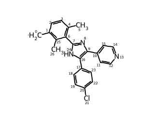 [CH2]c1ccc(C)c(-c2nc(-c3ccncc3)c(-c3ccc(Cl)cc3)[nH]2)c1C